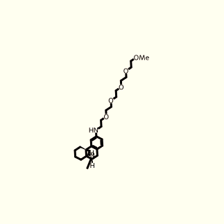 COCCOCCOCCOCCOCCNc1ccc2c(c1)[C@@]13CCCC[C@H]1[C@@H](C2)N(C)CC3